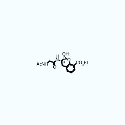 CCOC(=O)c1cccc2c1OB(O)[C@@H](NC(=O)CNC(C)=O)C2